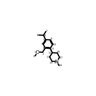 COCc1cc(C(C)C)ccc1C1CCN(C)CC1